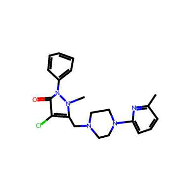 Cc1cccc(N2CCN(Cc3c(Cl)c(=O)n(-c4ccccc4)n3C)CC2)n1